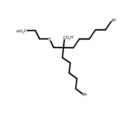 CC(C)CCCCCC(CCCCCC(C)C)(CSCCC(=O)O)C(=O)O